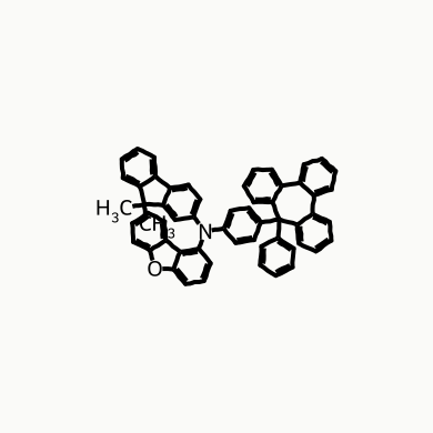 CC1(C)c2ccccc2-c2ccc(N(c3ccc(C4(c5ccccc5)c5ccccc5-c5ccccc5-c5ccccc54)cc3)c3cccc4oc5ccccc5c34)cc21